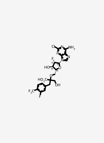 Nc1nc(Cl)nc2c1ncn2[C@@H]1O[C@H](COC(CO)(Cc2ccc(C(F)(F)F)c(F)c2)C(=O)O)[C@@H](O)[C@@H]1F